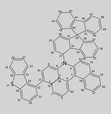 C1=CCCC(c2c(N(C3=CC=C(c4cccc5sc6ccccc6c45)CC3)C3C=CC=C4C3c3ccccc3C43C4=C(CCC=C4)c4ccccc43)ccc3ccccc23)=C1